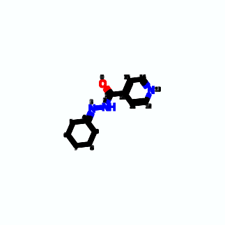 O=C(NN=C1CCCCC1)c1ccncc1